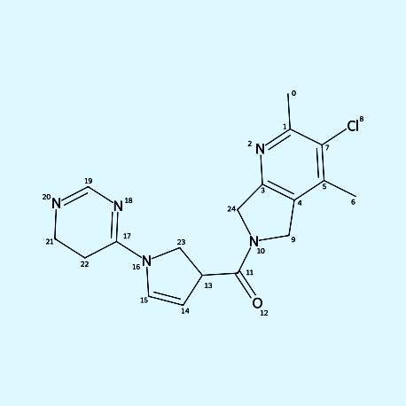 Cc1nc2c(c(C)c1Cl)CN(C(=O)C1C=CN(C3=NC=NCC3)C1)C2